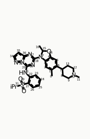 Cc1cc2c(cc1C1CCN(C)CC1)OC(C)N2c1nc(Nc2ccccc2S(=O)(=O)C(C)C)n2nccc2n1